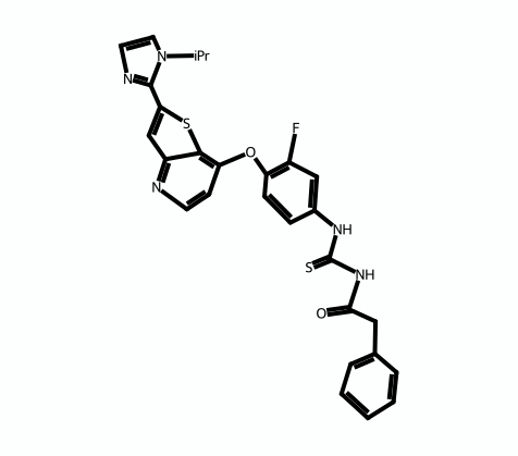 CC(C)n1ccnc1-c1cc2nccc(Oc3ccc(NC(=S)NC(=O)Cc4ccccc4)cc3F)c2s1